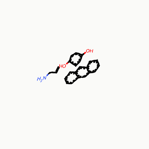 C=CCN.Oc1ccc(O)cc1.c1ccc2cc3ccccc3cc2c1